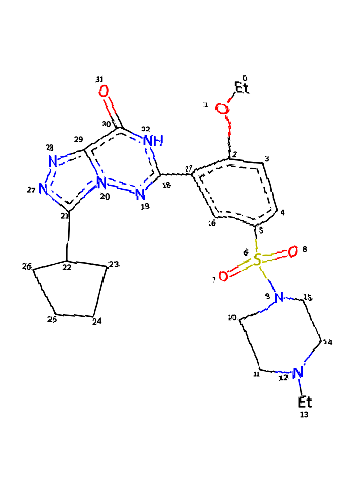 CCOc1ccc(S(=O)(=O)N2CCN(CC)CC2)cc1-c1nn2c(C3CCCC3)nnc2c(=O)[nH]1